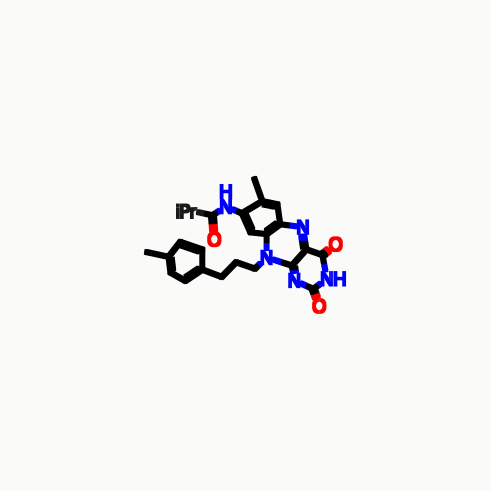 Cc1ccc(CCCn2c3nc(=O)[nH]c(=O)c-3nc3cc(C)c(NC(=O)C(C)C)cc32)cc1